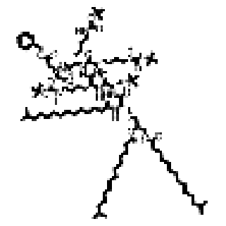 CC(C)CCCCCCCCCCCC(=O)N[C@@H](CSCC(COC(=O)CCCCCCCCCCCC(C)C)OC(=O)CCCCCCCCCCCC(C)C)C(=O)N[C@@H](COC(C)(C)C)C(=O)N[C@@H](CCCCNC(=O)OC(C)(C)C)C(=O)N[C@@H](CCCCNC(=O)OC(C)(C)C)C(=O)N[C@@H](CCCCNC(=O)OC(C)(C)C)C(=O)NCCNCC(=O)OCc1ccccc1